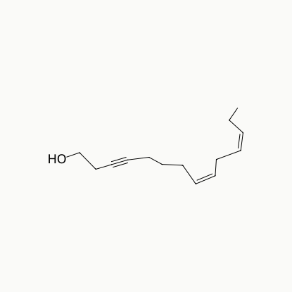 CC/C=C\C/C=C\CCCC#CCCO